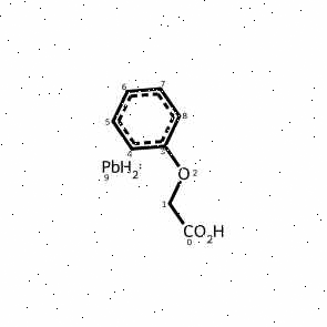 O=C(O)COc1ccccc1.[PbH2]